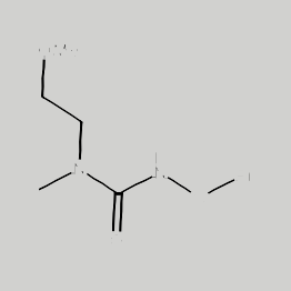 CCONC(=O)N(C)CCOC